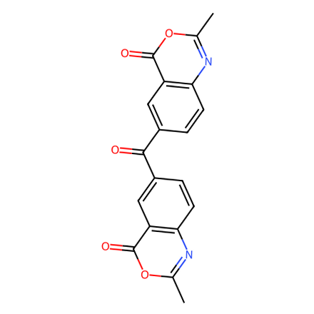 Cc1nc2ccc(C(=O)c3ccc4nc(C)oc(=O)c4c3)cc2c(=O)o1